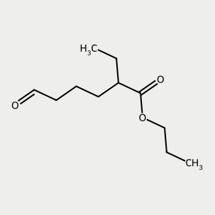 CCCOC(=O)C(CC)CCCC=O